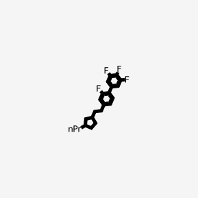 CCCC1CCC(CCc2ccc(-c3cc(F)c(F)c(F)c3)c(F)c2)C1